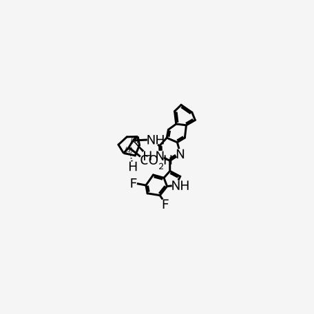 O=C(O)[C@H]1C2CCC(CC2)[C@@H]1Nc1nc(-c2c[nH]c3c(F)cc(F)cc23)nc2cc3ccccc3cc12